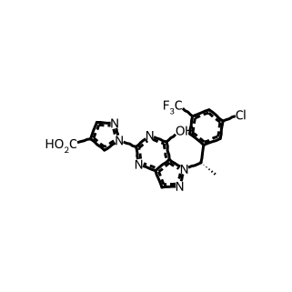 C[C@@H](c1cc(Cl)cc(C(F)(F)F)c1)n1ncc2nc(-n3cc(C(=O)O)cn3)nc(O)c21